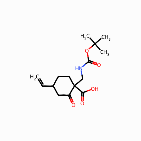 C=CC1CCC(CNC(=O)OC(C)(C)C)(C(=O)O)C(=O)C1